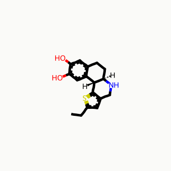 CCc1cc2c(s1)[C@@H]1c3cc(O)c(O)cc3CC[C@H]1NC2